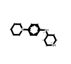 c1cc(N2CCCCC2)ccc1NC1CCNCC1